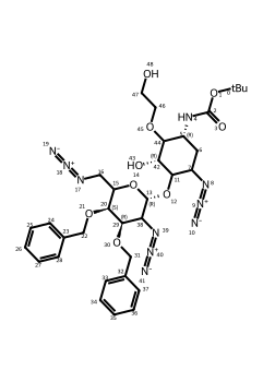 CC(C)(C)OC(=O)N[C@@H]1CC(N=[N+]=[N-])C(O[C@H]2OC(CN=[N+]=[N-])[C@H](OCc3ccccc3)[C@H](OCc3ccccc3)C2N=[N+]=[N-])[C@H](O)C1OCCO